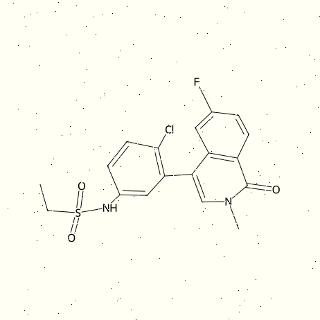 CCS(=O)(=O)Nc1ccc(Cl)c(-c2cn(C)c(=O)c3ccc(F)cc23)c1